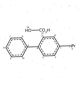 CCCc1ccc(-c2ccccc2)cc1.O=C(O)O